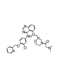 CN(C)CC(=O)N1CCO[C@@H](COc2cccc3ncnc(Nc4ccc(OCc5ccccn5)c(Cl)c4)c23)C1